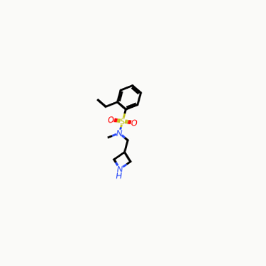 CCc1ccccc1S(=O)(=O)N(C)CC1CNC1